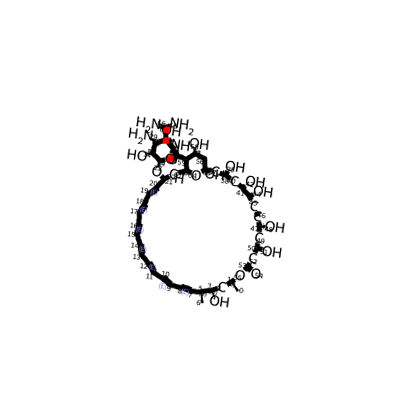 C[C@H]1C[C@H](O)[C@@H](C)/C=C/C=C/C=C/C=C/C=C/C=C/C=C/C(O[C@@H]2OC[C@@H](O)[C@H](N)[C@@H]2O)C[C@@H]2OC(O)(CC(O)CC(O)C(O)CC[C@@H](O)CC(O)CC(=O)O1)C[C@H](O)C2C(=O)NCC(N)N